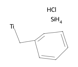 Cl.[SiH4].[Ti][CH2]c1ccccc1